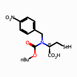 CCCCOC(=O)N(Cc1ccc([N+](=O)[O-])cc1)[C@@H](C[SeH])C(=O)O